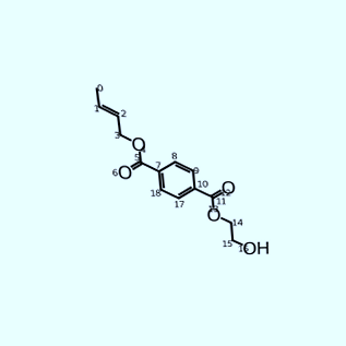 CC=CCOC(=O)c1ccc(C(=O)OCCO)cc1